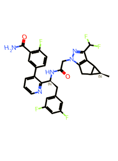 C[C@H]1C2Cc3c(c(C(F)F)nn3CC(=O)N[C@@H](Cc3cc(F)cc(F)c3)c3ncccc3-c3ccc(F)c(C(N)=O)c3)C21